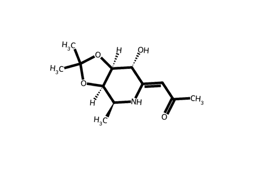 CC(=O)/C=C1\N[C@@H](C)[C@H]2OC(C)(C)O[C@H]2[C@@H]1O